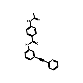 CC(=O)Nc1ccc(C(=O)Nc2cccc(C#Cc3ccccn3)c2)cc1